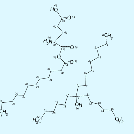 CCCCCCCCCC(O)(CCCCCC)CCCCCC.CCCCCCCCCCCC(=O)OC(=O)C(N)CCC(=O)O